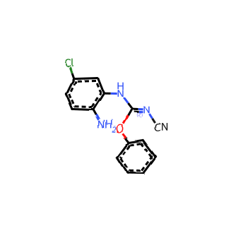 N#C/N=C(/Nc1cc(Cl)ccc1N)Oc1ccccc1